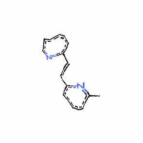 Cc1cccc(C=Cc2ccccn2)n1